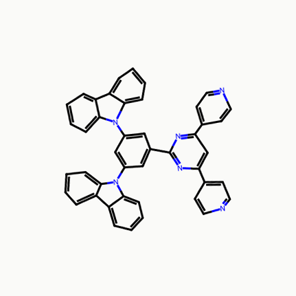 c1ccc2c(c1)c1ccccc1n2-c1cc(-c2nc(-c3ccncc3)cc(-c3ccncc3)n2)cc(-n2c3ccccc3c3ccccc32)c1